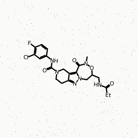 CCC(=O)NCC1Cn2nc3c(c2C(=O)N(C)O1)CN(C(=O)Nc1ccc(F)c(Cl)c1)CC3